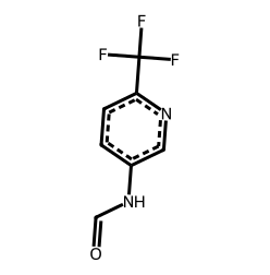 O=CNc1ccc(C(F)(F)F)nc1